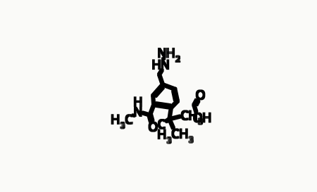 CNC(=O)c1cc(CNN)ccc1C(C)(C)C.O=CO